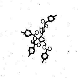 Cc1ccc(C(=O)OCCNC2S[C@@H](COC(=O)c3ccc(C)cc3)[C@H](OC(=O)c3ccc(C)cc3)[C@@H]2OC(=O)c2ccc(C)cc2)cc1